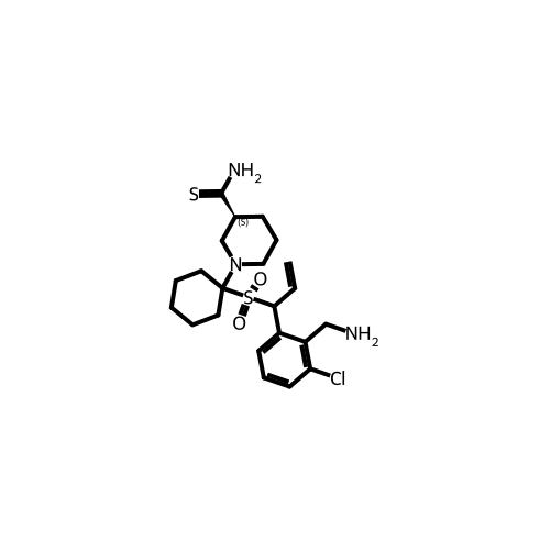 C=CC(c1cccc(Cl)c1CN)S(=O)(=O)C1(N2CCC[C@H](C(N)=S)C2)CCCCC1